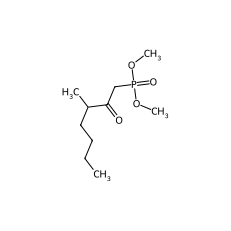 CCCCC(C)C(=O)CP(=O)(OC)OC